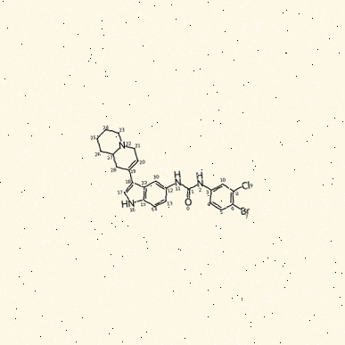 O=C(Nc1ccc(Br)c(Cl)c1)Nc1ccc2[nH]cc(C3=CCN4CCCCC4C3)c2c1